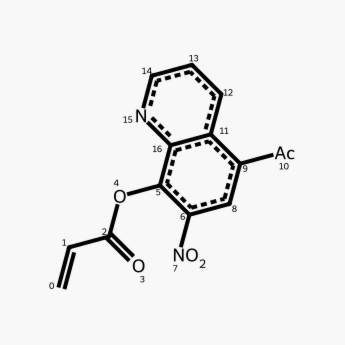 C=CC(=O)Oc1c([N+](=O)[O-])cc(C(C)=O)c2cccnc12